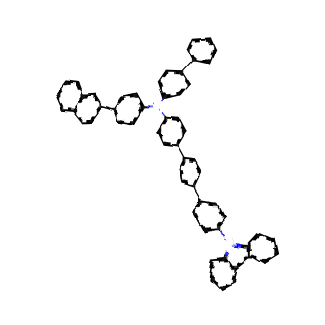 c1ccc(-c2ccc(N(c3ccc(-c4ccc(-c5ccc(-n6c7ccccc7c7ccccc76)cc5)cc4)cc3)c3ccc(-c4ccc5ccccc5c4)cc3)cc2)cc1